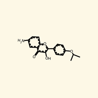 CC(C)Oc1ccc(-c2oc3ccc(N)cc3c(=O)c2O)cc1